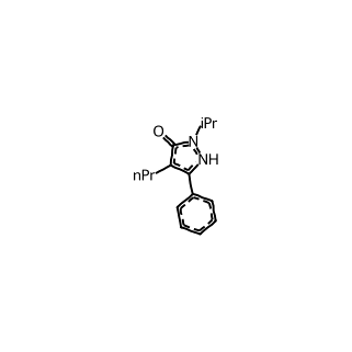 CCCc1c(-c2ccccc2)[nH]n(C(C)C)c1=O